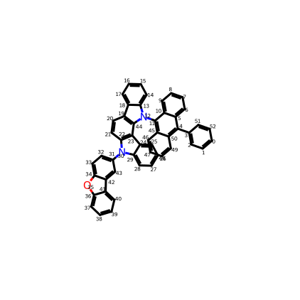 c1ccc(-c2c3ccccc3c(-n3c4ccccc4c4ccc5c(c6ccccc6n5-c5ccc6oc7ccccc7c6c5)c43)c3ccccc23)cc1